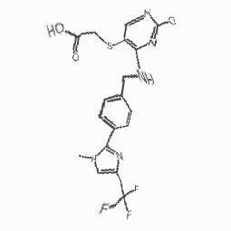 Cn1cc(C(F)(F)F)nc1-c1ccc(CNc2nc(Cl)ncc2SCC(=O)O)cc1